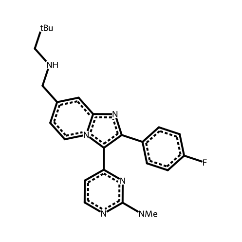 CNc1nccc(-c2c(-c3ccc(F)cc3)nc3cc(CNCC(C)(C)C)ccn23)n1